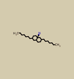 CCCCCCCC1CCC2(C#N)CC(CCCCCCC)CCC2C1